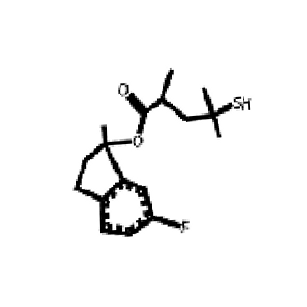 CC(CC(C)(C)S)C(=O)OC1(C)CCc2ccc(F)cc21